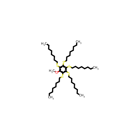 CCCCCCCCSc1c(OC)c(SCCCCCCCC)c(SCCCCCCCC)c(SCCCCCCCC)c1SCCCCCCCC